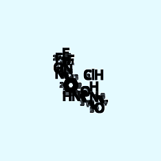 Cl.O=C(C[C@H]1COCCN1)Nc1ccc(-c2noc(C(F)(F)F)n2)cc1